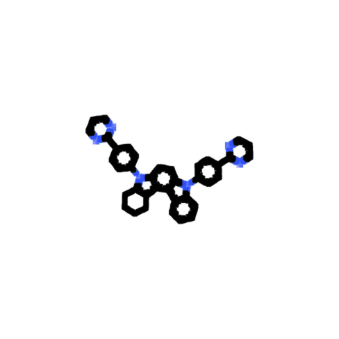 c1cnc(-c2ccc(-n3c4c(c5c6c7ccccc7n(-c7ccc(-c8ncccn8)cc7)c6ccc53)CCCC4)cc2)nc1